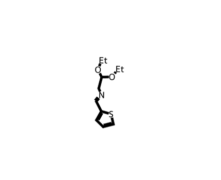 CCOC(CN=Cc1cccs1)OCC